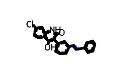 O=c1[nH]c2cc(Cl)ccc2c(O)c1-c1cccc(/C=C/c2ccccc2)c1